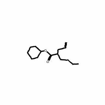 C=CCC(CCCC)C(=O)OC1CCCCC1